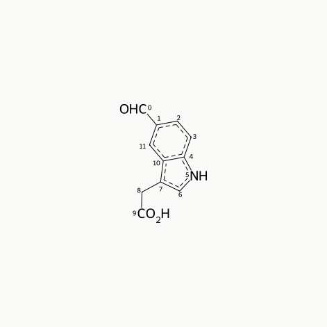 O=Cc1ccc2[nH]cc(CC(=O)O)c2c1